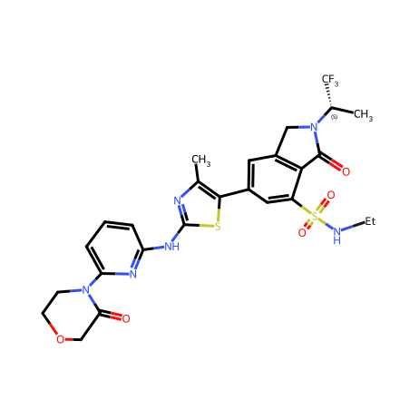 CCNS(=O)(=O)c1cc(-c2sc(Nc3cccc(N4CCOCC4=O)n3)nc2C)cc2c1C(=O)N([C@@H](C)C(F)(F)F)C2